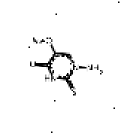 COc1cn(N)c(=S)[nH]c1=O